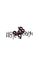 CN1CC2(C(C(=O)O)C(=O)O)C(=O)C(C(C(=O)O)C(=O)O)(C1)C(c1ccccn1)N(Cc1ccccn1)C2c1ccccn1